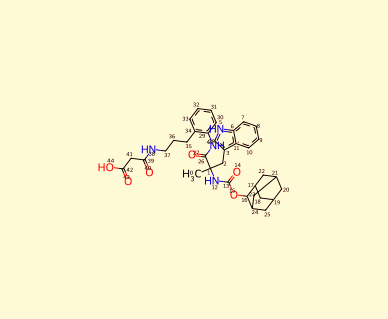 CC(Cc1c[nH]c2ccccc12)(NC(=O)OC1C2CC3CC(C2)CC1C3)C(=O)Nc1ccccc1CCCNC(=O)CC(=O)O